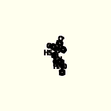 COc1ccc(C(OC[C@H]2O[C@@H](n3cnc4c(NC(=O)c5ccccc5)ncnc43)C[C@@H]2S)(c2ccccc2)c2ccc(OC)cc2)cc1